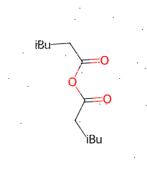 CCC(C)CC(=O)OC(=O)CC(C)CC